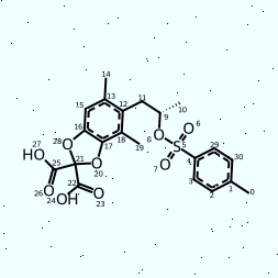 Cc1ccc(S(=O)(=O)O[C@@H](C)Cc2c(C)cc3c(c2C)OC(C(=O)O)(C(=O)O)O3)cc1